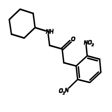 O=C(CNC1CCCCC1)Cc1c([N+](=O)[O-])cccc1[N+](=O)[O-]